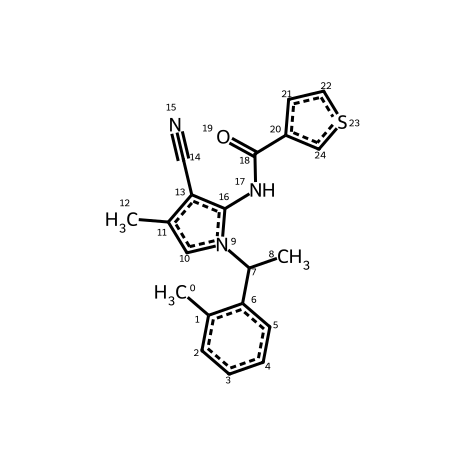 Cc1ccccc1C(C)n1cc(C)c(C#N)c1NC(=O)c1ccsc1